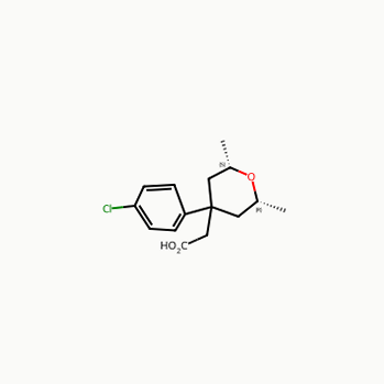 C[C@@H]1CC(CC(=O)O)(c2ccc(Cl)cc2)C[C@H](C)O1